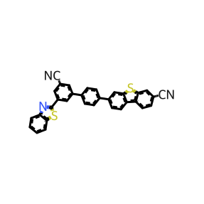 N#Cc1cc(-c2ccc(-c3ccc4c(c3)sc3cc(C#N)ccc34)cc2)cc(-c2nc3ccccc3s2)c1